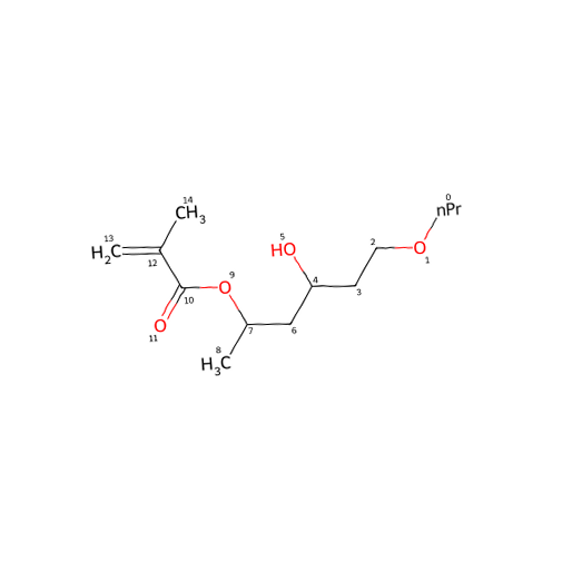 [CH2]CCOCCC(O)CC(C)OC(=O)C(=C)C